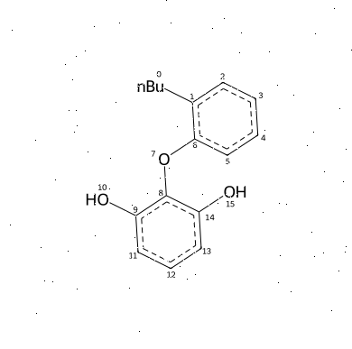 CCCCc1ccccc1Oc1c(O)cccc1O